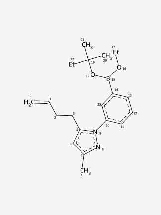 C=CCCc1cc(C)nn1-c1cccc(B(OCC)OC(C)(C)CC)c1